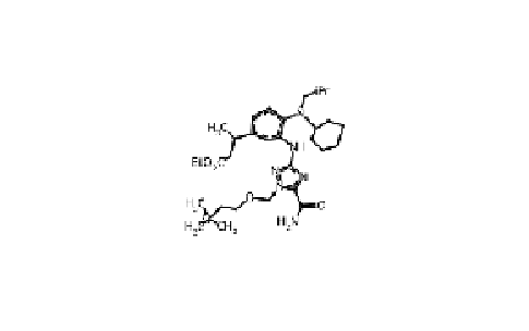 CCOC(=O)C[C@@H](C)c1ccc(N(CC(C)C)C2CCCCC2)c(Nc2nc(C(N)=O)n(COCC[Si](C)(C)C)n2)c1